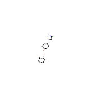 Cc1cc(-c2nn(C)c(Cl)c2C)ccc1OCc1c(Br)cccc1[N+](=O)[O-]